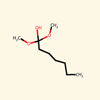 CCCCCCC(O)(OC)OC